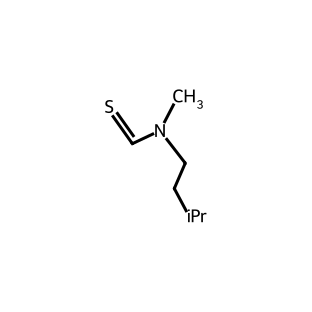 CC(C)CCN(C)C=S